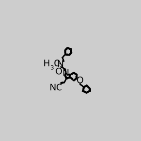 CN(CCc1ccccc1)C(=O)Cn1cc(C=CC#N)c2cc(OCc3ccccc3)ccc21